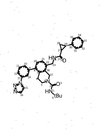 CC(C)(C)NC(=O)N1CCc2c(-c3cccc(-n4ccnn4)c3)ccc(CNC(=O)C3C[C@H]3c3ccccc3)c2C1